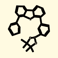 CC1(C)OB(c2cccc(-c3cccc4c3sc3c(-c5ccccc5)cccc34)c2)OC1(C)C